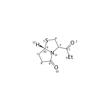 CCC(=O)C1CS[C@H]2CCC(=O)N12